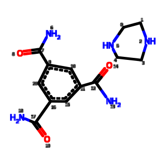 C1CNCCN1.NC(=O)c1cc(C(N)=O)cc(C(N)=O)c1